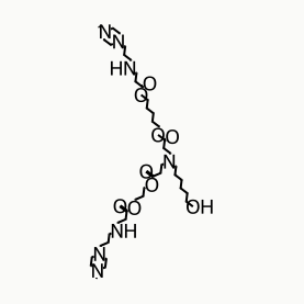 CN1CCN(CCCNCCC(=O)OCCCCCOC(=O)CCN(CCCCCCO)CCC(=O)OCCCOC(=O)CCNCCCN2CCN(C)CC2)CC1